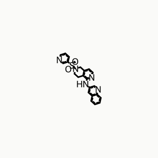 O=S(=O)(c1cccnc1)N1CCc2c(ccnc2Nc2cnc3ccccc3c2)C1